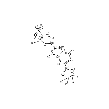 Cc1cc(B2OC(C)(C)C(C)(C)O2)cc2c1nc(-c1ccc(S(C)(=O)=O)c(F)c1)n2C